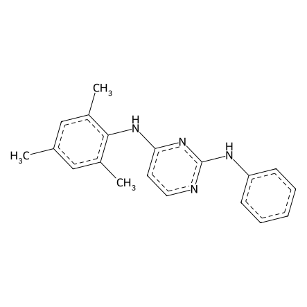 Cc1cc(C)c(Nc2ccnc(Nc3ccccc3)n2)c(C)c1